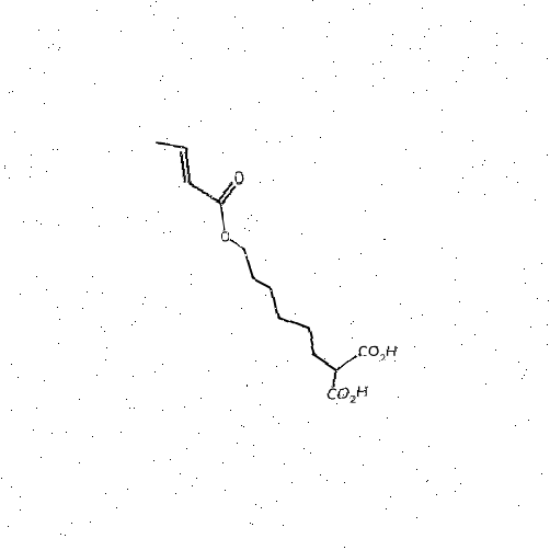 CC=CC(=O)OCCCCCCC(C(=O)O)C(=O)O